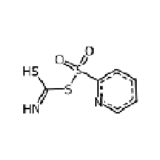 N=C(S)SS(=O)(=O)c1ccccn1